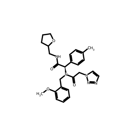 COc1ccccc1CN(C(=O)Cn1ccnn1)[C@@H](C(=O)NCC1CCCO1)c1ccc(C)cc1